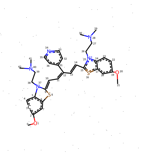 COc1ccc2c(c1)S\C(=C/C=C(/C=C/c1sc3cc(OC)ccc3[n+]1CCN(C)C)c1ccncc1)N2CCN(C)C